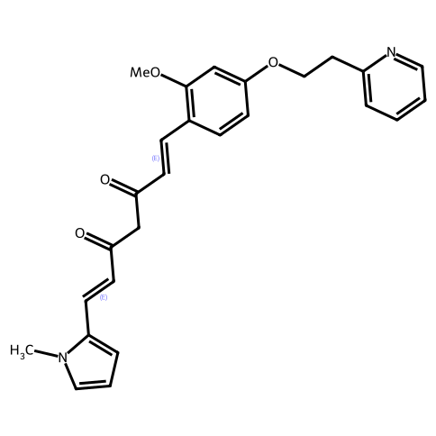 COc1cc(OCCc2ccccn2)ccc1/C=C/C(=O)CC(=O)/C=C/c1cccn1C